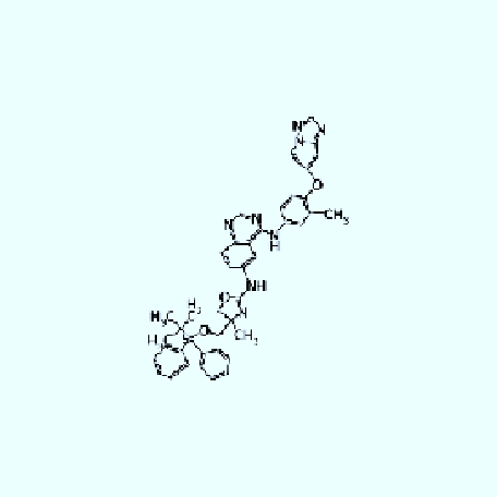 Cc1cc(Nc2ncnc3ccc(NC4=NC(C)(CO[Si](c5ccccc5)(c5ccccc5)C(C)(C)C)CO4)cc23)ccc1Oc1ccn2ncnc2c1